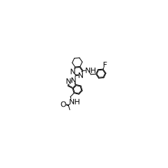 CC(=O)NCc1cccc2c1cnn2-c1nc2c(c(NCc3cccc(F)c3)n1)CCCC2